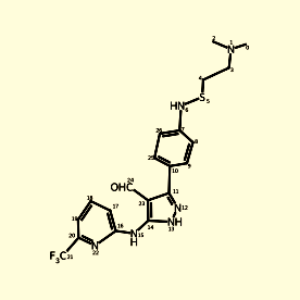 CN(C)CCSNc1ccc(-c2n[nH]c(Nc3cccc(C(F)(F)F)n3)c2C=O)cc1